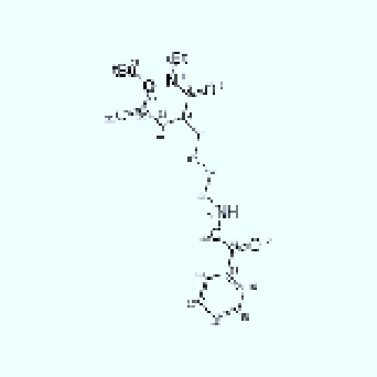 CCNC(=O)C(CCCCNOC(=O)c1ccccc1)NC(=O)OC(C)(C)C